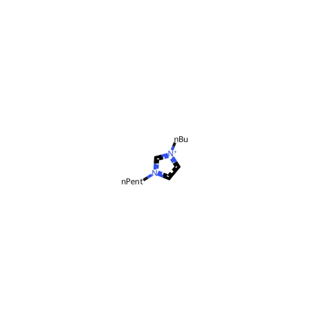 CCCCCn1cc[n+](CCCC)c1